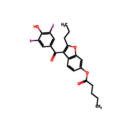 CCCCC(=O)Oc1ccc2c(C(=O)c3cc(I)c(O)c(I)c3)c(CCC)oc2c1